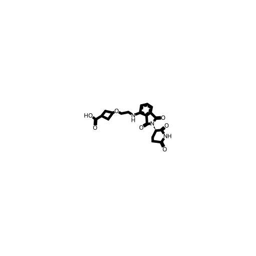 O=C1CC[C@H](N2C(=O)c3cccc(NCCOC4CC(C(=O)O)C4)c3C2=O)C(=O)N1